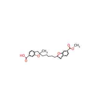 COC(=O)c1ccc2cc(CCCCCC3(C)Cc4ccc(C(=O)O)cc4O3)oc2c1